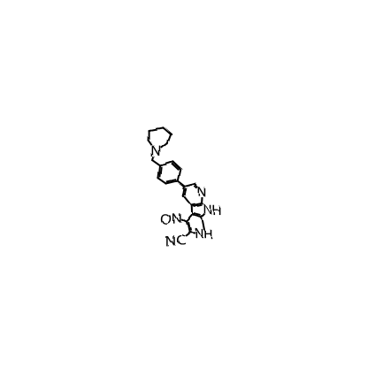 N#CC1=C(N=O)c2c([nH]c3ncc(-c4ccc(CN5CCCCC5)cc4)cc23)CN1